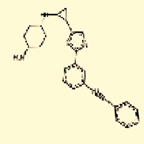 N[C@H]1CC[C@H](NC2CC2c2cnc(-c3cccc([N+]#Cc4ccccc4)c3)s2)CC1